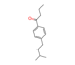 CCCC(=O)c1ccc(C[CH]C(C)C)cc1